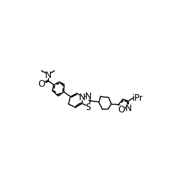 CC(C)c1cc(C2CCC(C3=NN4C=C(c5ccc(C(=O)N(C)C)cc5)CC=C4S3)CC2)on1